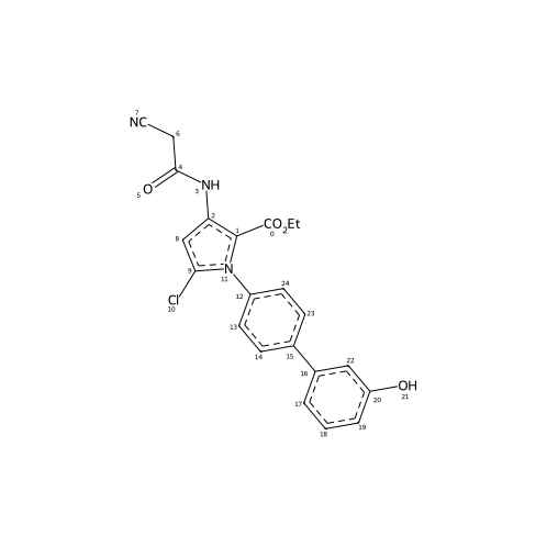 CCOC(=O)c1c(NC(=O)CC#N)cc(Cl)n1-c1ccc(-c2cccc(O)c2)cc1